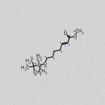 COC(=O)/C=C/CCCCO[Si](C)(C)C(C)(C)C